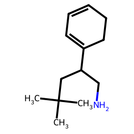 CC(C)(C)CC(CN)C1=CC=CCC1